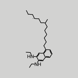 CCC[CH]CCC(C)CCCCCCc1cccc2cc(NCC)c(NCC)cc12